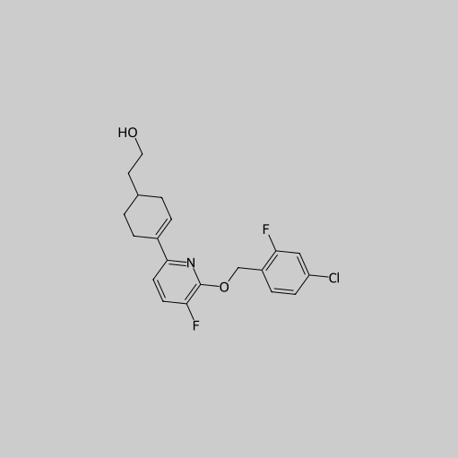 OCCC1CC=C(c2ccc(F)c(OCc3ccc(Cl)cc3F)n2)CC1